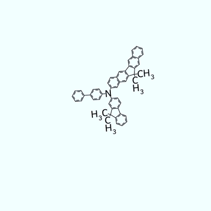 CC1(C)c2ccccc2-c2ccc(N(c3ccc(-c4ccccc4)cc3)c3ccc4cc5c(cc4c3)C(C)(C)c3cc4ccccc4cc3-5)cc21